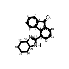 O=C1c2ccccc2-c2c1cccc2C1=NC2CCCCC2N1